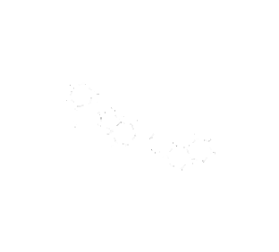 O=C(Nc1ccc2ccccc2n1)c1ccc2nc(-c3c(Cl)cncc3Cl)[nH]c2c1